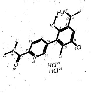 COc1c([C@H](C)N)cc(Cl)c(C)c1-c1ccc(C(=O)N(C)C)nc1.Cl.Cl